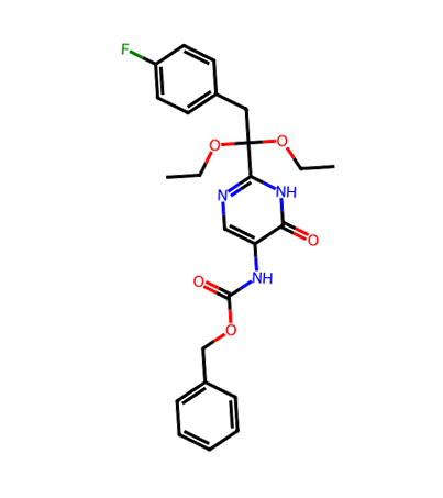 CCOC(Cc1ccc(F)cc1)(OCC)c1ncc(NC(=O)OCc2ccccc2)c(=O)[nH]1